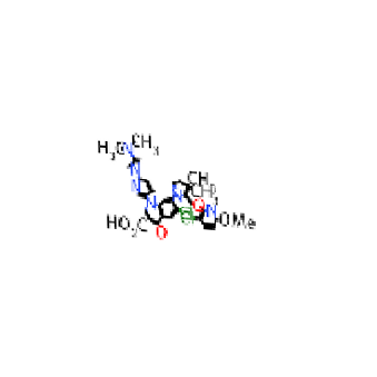 COc1ccc(Cl)c(OCC2N(c3cc4c(cc3Cl)c(=O)c(C(=O)O)cn4-c3ccc(N4CC(N(C)C)C4)nc3)CCC2(C)C)n1